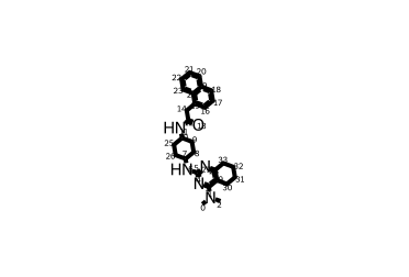 CN(C)c1nc(NC2CCC(NC(=O)Cc3cccc4ccccc34)CC2)nc2c1CCCC2